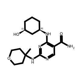 CC1(Nc2ncc(C(N)=O)c(N[C@@H]3CCC[C@H](O)C3)n2)CCOCC1